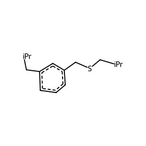 CC(C)CSCc1cccc(CC(C)C)c1